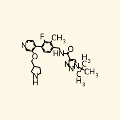 Cc1c(CNC(=O)c2cn(C(C)(C)C)nn2)ccc(-c2ccncc2OCC2CCNC2)c1F